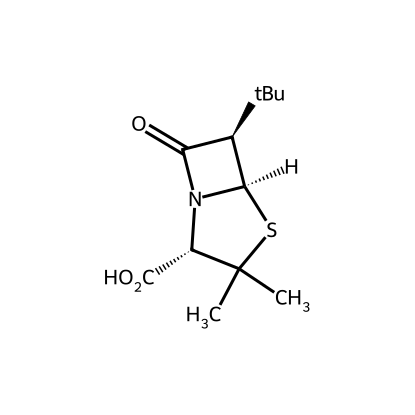 CC(C)(C)[C@@H]1C(=O)N2[C@@H]1SC(C)(C)[C@@H]2C(=O)O